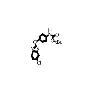 CC(C)(C)OC(=O)Nc1ccc(Oc2nc3ccc(Cl)cc3s2)cc1